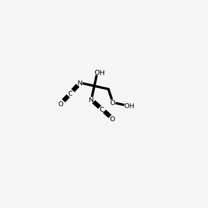 O=C=NC(O)(COO)N=C=O